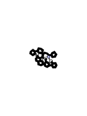 c1ccc(/C2=N/C(c3cccc4c3oc3ccccc34)NC3=C(CC2)c2cccc4c5ccccc5n(c24)-c2ccc4ccccc4c23)cc1